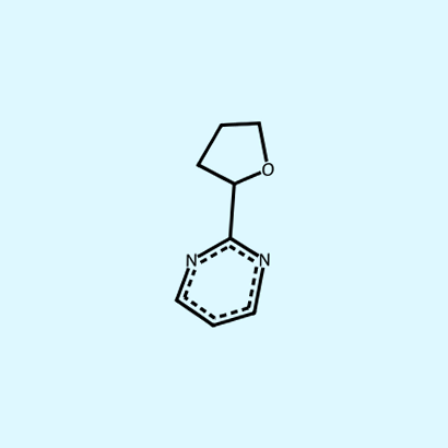 c1cnc(C2CCCO2)nc1